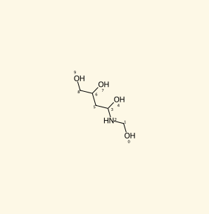 OCNC(O)CC(O)CO